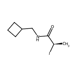 C[C@@H](I)C(=O)NCC1CCC1